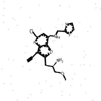 C#Cc1c(C[C@@H](N)COC)oc2c(NCc3nccs3)cc(Cl)nc12